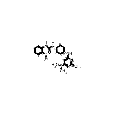 CCOc1ccccc1NC(=O)N[C@H]1CC[C@@H](Nc2cc(N(C)C)nc(C)n2)CC1